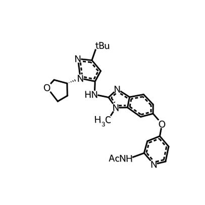 CC(=O)Nc1cc(Oc2ccc3nc(Nc4cc(C(C)(C)C)nn4[C@@H]4CCOC4)n(C)c3c2)ccn1